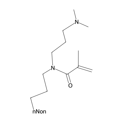 C=C(C)C(=O)N(CCCCCCCCCCCC)CCCN(C)C